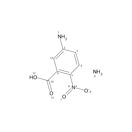 N.Nc1ccc([N+](=O)[O-])c(C(=O)O)c1